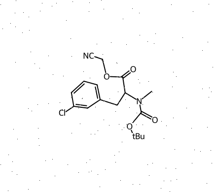 CN(C(=O)OC(C)(C)C)C(Cc1cccc(Cl)c1)C(=O)OCC#N